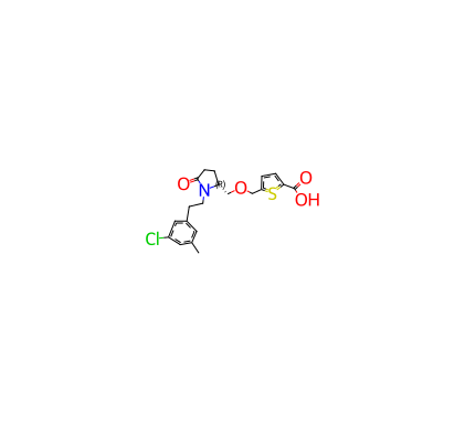 Cc1cc(Cl)cc(CCN2C(=O)CC[C@@H]2COCc2ccc(C(=O)O)s2)c1